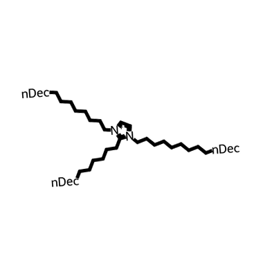 CCCCCCCCCCCCCCCCCCCn1cc[n+](CCCCCCCCCCCCCCCCCC)c1CCCCCCCCCCCCCCCC